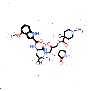 COc1cccc2[nH]c(C(=O)N[C@@H](CC(C)C)C(=O)N[C@@H](C[C@@H]3CCNC3=O)C(=O)COC(=O)C3(C)CCN(C)CC3)cc12